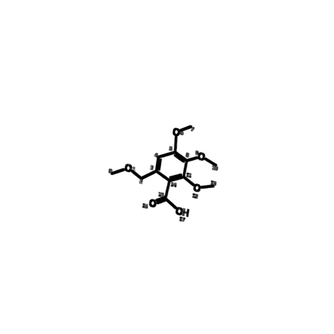 COCc1cc(OC)c(OC)c(OC)c1C(=O)O